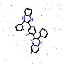 Fc1ccc2nc(-c3ccccc3)c(-c3ccc(-c4nc5ccccc5nc4-c4ccccc4)cc3F)nc2c1